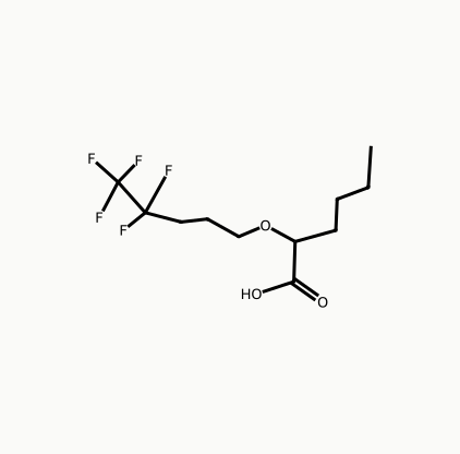 CCCCC(OCCCC(F)(F)C(F)(F)F)C(=O)O